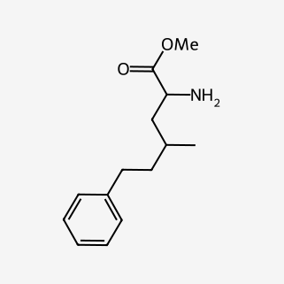 COC(=O)C(N)CC(C)CCc1ccccc1